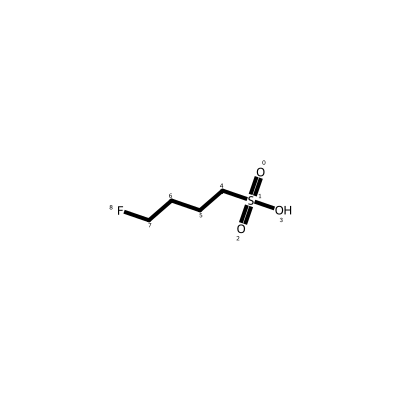 O=S(=O)(O)[CH]CCCF